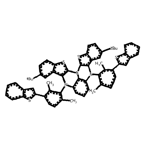 Cc1ccc(-c2cc3ccccc3s2)c(C)c1N1c2cccc3c2B(c2sc4ccc(C(C)(C)C)cc4c21)c1sc2ccc(C(C)(C)C)cc2c1N3c1c(C)ccc(-c2cc3ccccc3s2)c1C